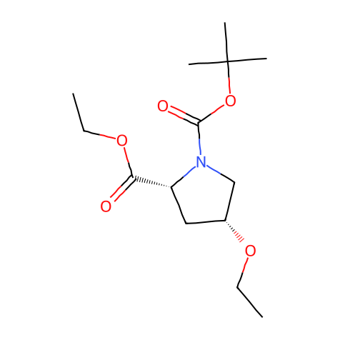 CCOC(=O)[C@H]1C[C@@H](OCC)CN1C(=O)OC(C)(C)C